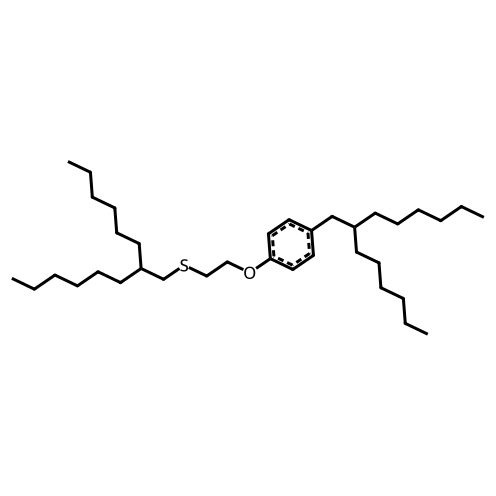 CCCCCCC(CCCCCC)CSCCOc1ccc(CC(CCCCCC)CCCCCC)cc1